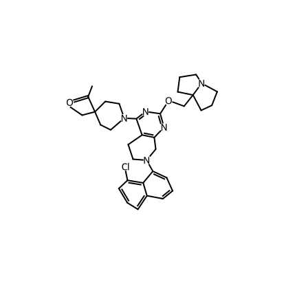 CCC1(C(C)=O)CCN(c2nc(OCC34CCCN3CCC4)nc3c2CCN(c2cccc4cccc(Cl)c24)C3)CC1